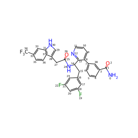 NC(=O)c1cccc(-c2cccnc2C(Cc2cc(F)cc(F)c2)NC(=O)Cc2c[nH]c3cc(C(F)(F)F)ccc23)c1